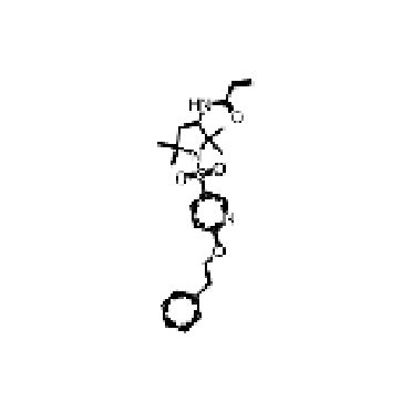 C=CC(=O)NC1CC(C)(C)N(S(=O)(=O)c2ccc(OCCc3ccccc3)nc2)C1(C)C